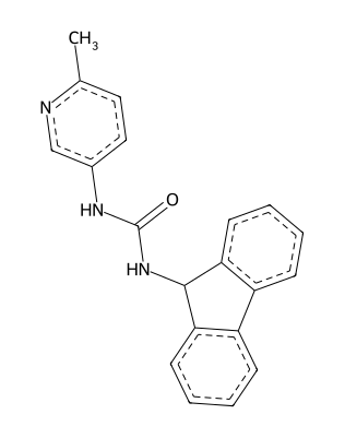 Cc1ccc(NC(=O)NC2c3ccccc3-c3ccccc32)cn1